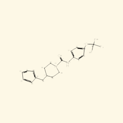 O=C(Nc1ccc(OC(F)(F)F)cc1)N1CCC(Cc2ccccc2)CC1